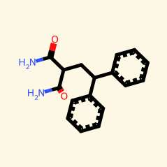 NC(=O)C(CC(c1ccccc1)c1ccccc1)C(N)=O